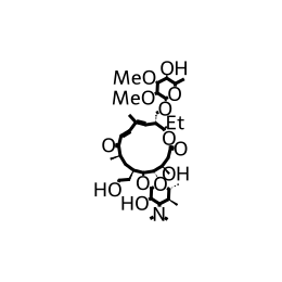 CC[C@H]1OC(=O)C[C@@H](O)[C@H](C)[C@@H](O[C@@H]2O[C@H](C)[C@@H](C)C(N(C)C)C2O)[C@@H](CCO)C[C@@H](C)C(=O)/C=C/C(C)=C/[C@@H]1CO[C@@H]1OC(C)[C@@H](O)[C@H](OC)C1OC